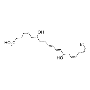 CC/C=C\C/C=C\CC(O)C=CC=CC=CC(O)C/C=C\CCC(=O)O